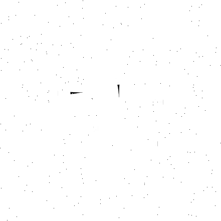 OC[C@@H](O)[C@@H]1O[CH][C@H](O)[C@H]1S